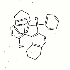 O=P(c1ccccc1)(c1ccccc1)c1ccc2c(c1-c1c(O)ccc3c1CCCC3)CCCC2